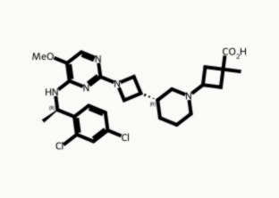 COc1cnc(N2CC([C@H]3CCCN(C4CC(C)(C(=O)O)C4)C3)C2)nc1N[C@H](C)c1ccc(Cl)cc1Cl